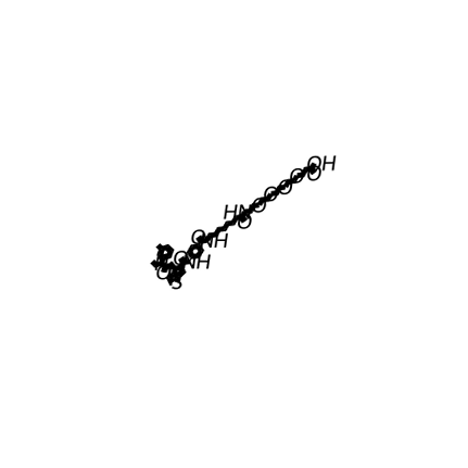 CCN(C(=O)Cn1c(C(=O)N[C@H]2CC[C@H](C(=O)NCCCCCCCC(=O)NCCOCCOCCOCCOCCC(=O)O)CC2)cc2sccc21)c1cccc(C)c1